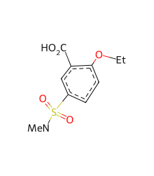 CCOc1ccc(S(=O)(=O)NC)cc1C(=O)O